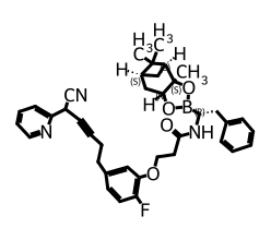 CC1(C)[C@@H]2C[C@H]3OB([C@H](Cc4ccccc4)NC(=O)CCOc4cc(CCC#CC(C#N)c5ccccn5)ccc4F)O[C@@]3(C)[C@H]1C2